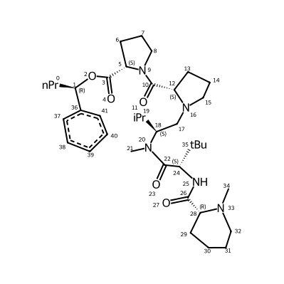 CCC[C@@H](OC(=O)[C@@H]1CCCN1C(=O)[C@@H]1CCCN1C[C@H](C(C)C)N(C)C(=O)[C@@H](NC(=O)[C@H]1CCCCN1C)C(C)(C)C)c1ccccc1